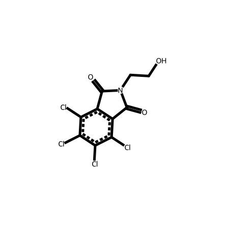 O=C1c2c(Cl)c(Cl)c(Cl)c(Cl)c2C(=O)N1CCO